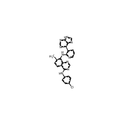 Cc1ccc2c(Nc3ccc(Cl)cc3)ncnc2c1Nc1ncccc1-c1ncnc2[nH]cnc12